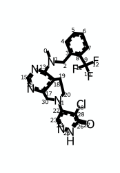 CN(Cc1ccccc1C(F)(F)F)c1ncnc2c1CCN(c1cn[nH]c(=O)c1Cl)C2